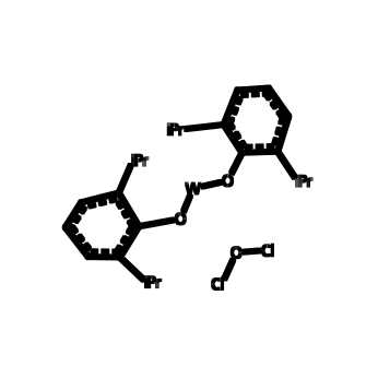 CC(C)c1cccc(C(C)C)c1[O][W][O]c1c(C(C)C)cccc1C(C)C.ClOCl